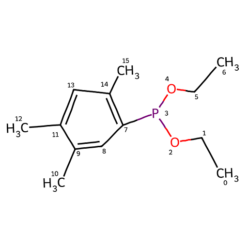 CCOP(OCC)c1cc(C)c(C)cc1C